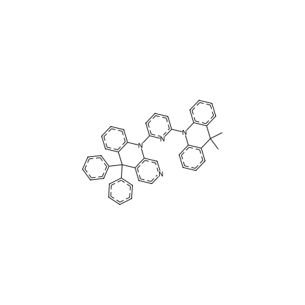 CC1(C)c2ccccc2N(c2cccc(N3c4ccccc4C(c4ccccc4)(c4ccccc4)c4ccncc43)n2)c2ccccc21